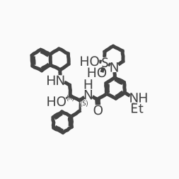 CCNc1cc(C(=O)N[C@@H](Cc2ccccc2)[C@H](O)CNC2CCCc3ccccc32)cc(N2CCCCS2(O)O)c1